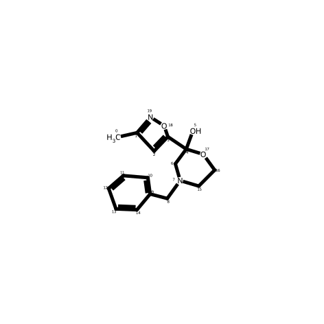 Cc1cc(C2(O)CN(Cc3ccccc3)CCO2)on1